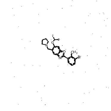 Cc1c(Br)cccc1-c1nc2cc(CN3CCCC3)c(OC(F)F)cc2o1